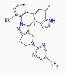 CCc1cccc2c1-n1nc3c(c1C1(C)C2=CC(C)c2[nH]ccc21)CN(c1ncc(C(F)(F)F)cn1)CC3